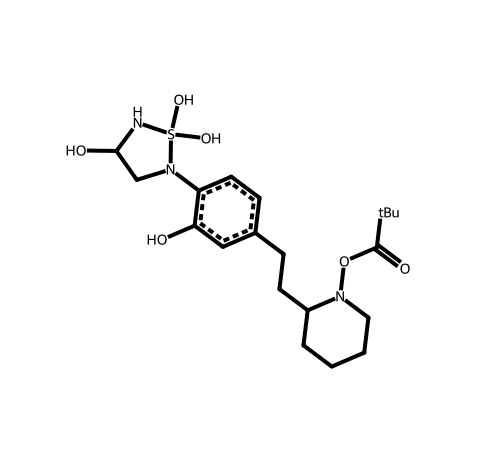 CC(C)(C)C(=O)ON1CCCCC1CCc1ccc(N2CC(O)NS2(O)O)c(O)c1